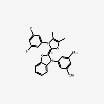 CC1=C(C)N(c2cc(F)cc(F)c2)/C(=C2\Sc3ccccc3N2c2cc(C(C)(C)C)cc(C(C)(C)C)c2)S1